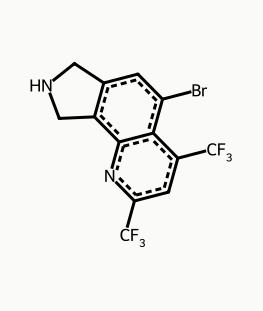 FC(F)(F)c1cc(C(F)(F)F)c2c(Br)cc3c(c2n1)CNC3